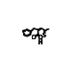 CC(=S)C=C(Cc1ccccc1)C(=O)O